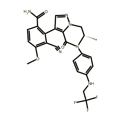 COc1ccc(C(N)=O)c(-c2cnn3c2C(=O)N(c2ccc(NCC(F)(F)F)cc2)[C@@H](C)C3)c1C#N